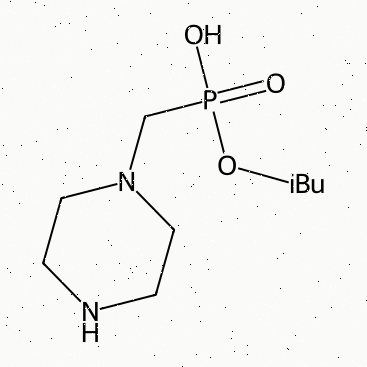 CCC(C)OP(=O)(O)CN1CCNCC1